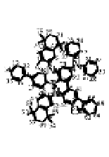 Cc1cc2c(cc1N1c3cc(-c4ccccc4)ccc3B3c4c(cc(N(c5ccccc5)c5ccccc5)cc41)-c1cc4c(cc1N3c1ccc3c(c1)C(C)(C)CCC3(C)C)oc1ccccc14)C(C)(C)CCC2(C)C